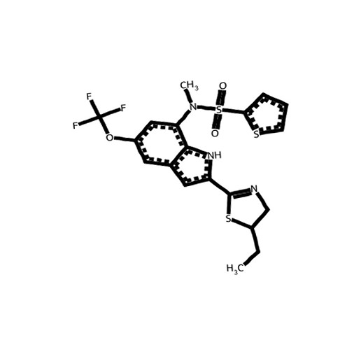 CCC1CN=C(c2cc3cc(OC(F)(F)F)cc(N(C)S(=O)(=O)c4cccs4)c3[nH]2)S1